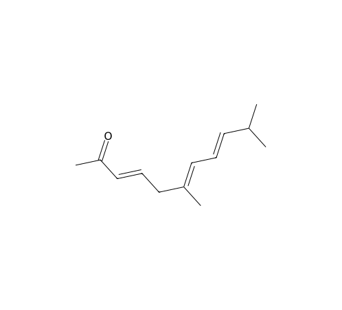 CC(=O)C=CCC(C)=CC=CC(C)C